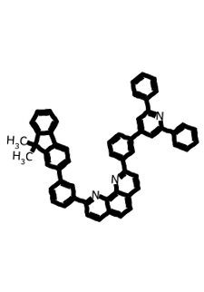 CC1(C)c2ccccc2-c2ccc(-c3cccc(-c4ccc5ccc6ccc(-c7cccc(-c8cc(-c9ccccc9)nc(-c9ccccc9)c8)c7)nc6c5n4)c3)cc21